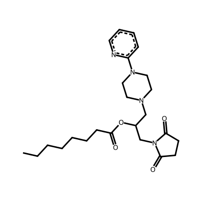 CCCCCCCC(=O)OC(CN1CCN(c2ccccn2)CC1)CN1C(=O)CCC1=O